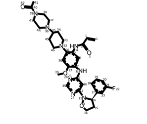 C=CC(=O)Nc1cc(Nc2cc(N3OCC[C@@H]3c3cccc(F)c3)ncn2)c(OC)cc1N1CCC(N2CCN(C(C)=O)CC2)CC1